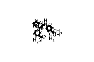 CC(C)(O)c1ccc(Nc2cc(N3CCC[C@@H](C(N)=O)C3)n3nccc3n2)cc1